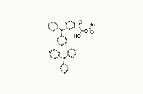 O=C(O)CCl.O=[CH][Ru].c1ccc(P(c2ccccc2)c2ccccc2)cc1.c1ccc(P(c2ccccc2)c2ccccc2)cc1